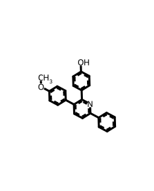 COc1ccc(-c2ccc(-c3ccccc3)nc2-c2ccc(O)cc2)cc1